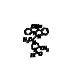 CCC(=O)N1CCN(C(C)c2nc3ccccc3c(=O)n2-c2ccccc2OC)CC1C